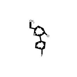 C=Cc1ccc(Cl)c(-c2ccc(F)cc2)n1